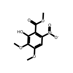 COC(=O)c1c([N+](=O)[O-])cc(OC)c(OC)c1O